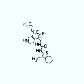 CCCCC1=C(/C(CNC(=O)Nc2sc3c(c2C)CCCC3)=C(\C)Br)CCNC1